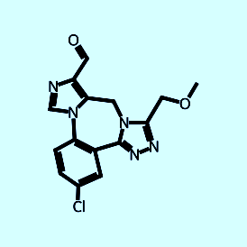 COCc1nnc2n1Cc1c(C=O)ncn1-c1ccc(Cl)cc1-2